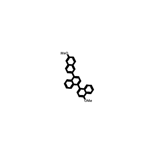 COc1ccc2cc(-c3ccc(-c4ccc(OC)c5ccccc45)c4ccccc34)ccc2c1